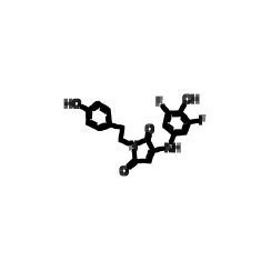 O=C1C=C(Nc2cc(F)c(O)c(F)c2)C(=O)N1CCc1ccc(O)cc1